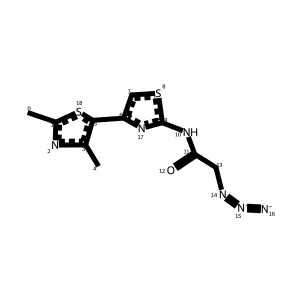 Cc1nc(C)c(-c2csc(NC(=O)CN=[N+]=[N-])n2)s1